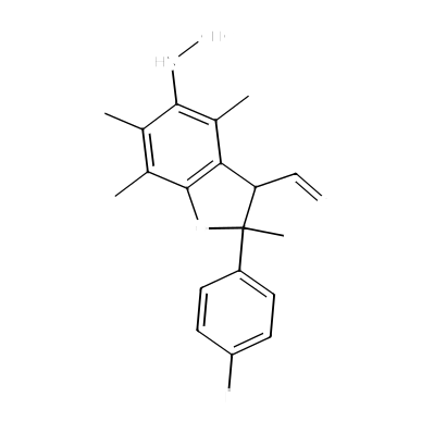 Cc1c(C)c2c(c(C)c1NC=O)C(C=S)C(C)(c1ccc(F)cc1)O2